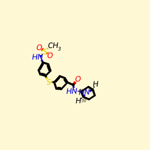 CS(=O)(=O)Nc1ccc(Sc2ccc(C(=O)N[C@@H]3C[C@H]4CC[C@@H]3N4)cc2)cc1